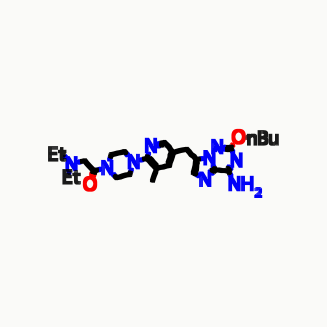 CCCCOc1nc(N)c2ncc(Cc3cnc(N4CCN(C(=O)CN(CC)CC)CC4)c(C)c3)n2n1